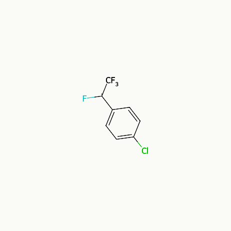 F[C](c1ccc(Cl)cc1)C(F)(F)F